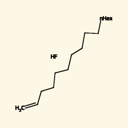 C=CCCCCCCCCCCCCCC.F